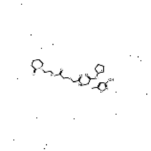 O=C(CSCC(=O)N[C@@H](Cc1cc(O)no1)C(=O)NC1CCCC1)NCCN1CCCCC1=O